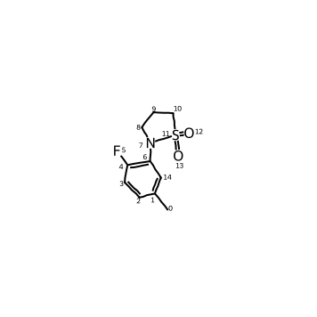 Cc1ccc(F)c(N2CCCS2(=O)=O)c1